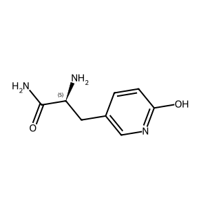 NC(=O)[C@@H](N)Cc1ccc(O)nc1